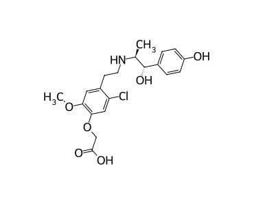 COc1cc(CCN[C@@H](C)[C@@H](O)c2ccc(O)cc2)c(Cl)cc1OCC(=O)O